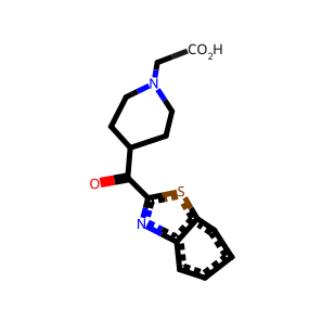 O=C(O)CN1CCC(C(=O)c2nc3ccccc3s2)CC1